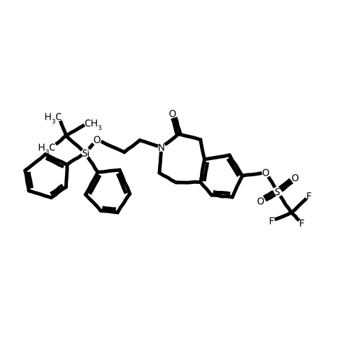 CC(C)(C)[Si](OCCN1CCc2ccc(OS(=O)(=O)C(F)(F)F)cc2CC1=O)(c1ccccc1)c1ccccc1